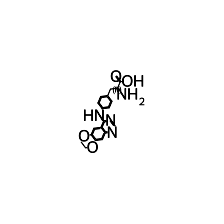 N[C@H](Cc1ccc(Nc2ncnc3cc4c(cc23)OCCO4)cc1)C(=O)O